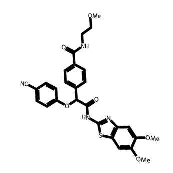 COCCNC(=O)c1ccc(C(Oc2ccc(C#N)cc2)C(=O)Nc2nc3cc(OC)c(OC)cc3s2)cc1